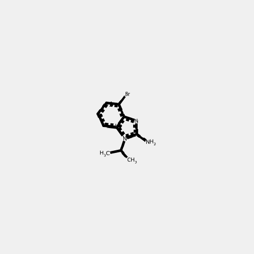 CC(C)n1c(N)nc2c(Br)cccc21